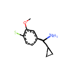 COc1cc(C(N)C2CC2)ccc1F